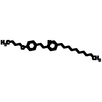 CCCCCCCCCCc1ccc(CCc2ccc(OCCCC)cc2)nc1